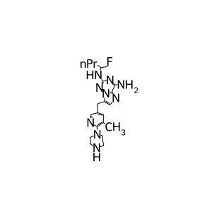 CCCC(CF)Nc1nc(N)c2ncc(Cc3cnc(N4CCNCC4)c(C)c3)n2n1